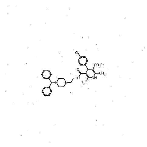 CCOC(=O)C1=C(C)NC(C)=C(C(=O)OCCN2CCN(C(c3ccccc3)c3ccccc3)CC2)C1c1ccc(Cl)cc1